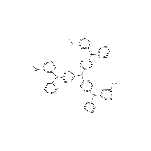 COc1cccc(N(c2ccccc2)c2ccc(N(c3ccc(N(c4ccccc4)c4cccc(OC)c4)cc3)c3ccc(N(c4ccccc4)c4cccc(OC)c4)cc3)cc2)c1